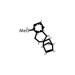 COc1cccc2c1CCC1(C2)CC2C=CC1C2